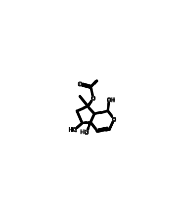 CC(=O)OC1(C)CC(O)C2(O)C=COC(O)C12